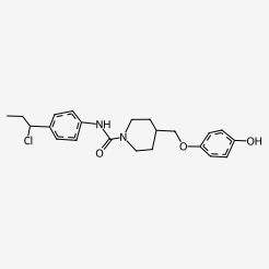 CCC(Cl)c1ccc(NC(=O)N2CCC(COc3ccc(O)cc3)CC2)cc1